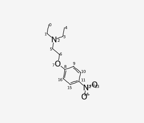 CCN(CC)CCOc1ccc([N+](=O)[O-])cc1